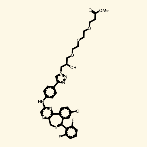 COC(=O)CCOCCOCCOCC(O)Cn1cc(-c2ccc(Nc3cnc4c(n3)-c3ccc(Cl)cc3C(c3c(F)cccc3F)=NC4)cc2)nn1